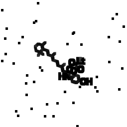 CCC(=O)C(=O)Oc1cc(O)ccc1NC(=O)/C=C(C)/C=C/C=C(C)/C=C/C1=C(C)CCCC1(C)C